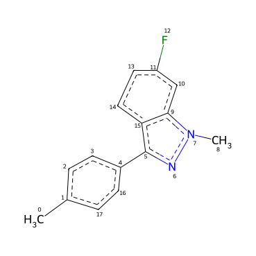 Cc1ccc(-c2nn(C)c3cc(F)ccc23)cc1